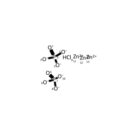 Cl.O=P([O-])([O-])[O-].O=P([O-])([O-])[O-].[Zn+2].[Zn+2].[Zn+2]